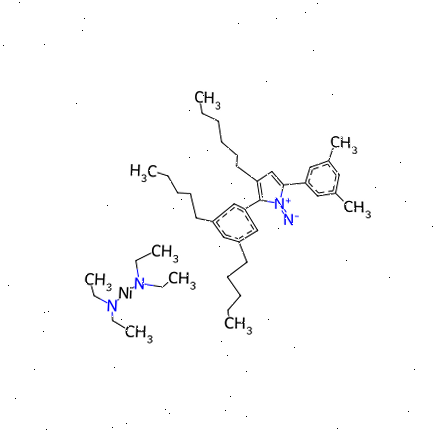 CCCCCCC1=C(c2cc(CCCCC)cc(CCCCC)c2)[N+](=[N-])C(c2cc(C)cc(C)c2)=C1.CC[N](CC)[Ni][N](CC)CC